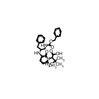 Cc1ccc(NC(CNC(=O)OCc2ccccc2)Cc2ccccc2)c(=O)n1C(C(=O)O)C(C)(C)C